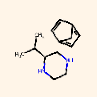 C1=CC2=CC=C1C2.CC(C)[C@H]1CNCCN1